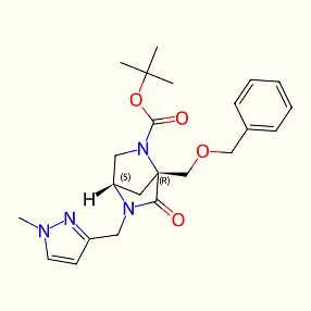 Cn1ccc(CN2C(=O)[C@]3(COCc4ccccc4)C[C@H]2CN3C(=O)OC(C)(C)C)n1